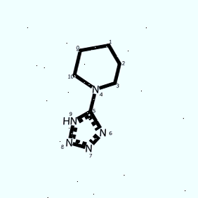 [CH]1CCCN(c2nnn[nH]2)C1